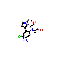 Cn1ccc(C2=CC(N)(Cl)C=CC2N(CCO)CCO)c1